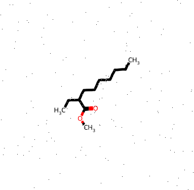 CCCCCCCC(CC)C(=O)OC